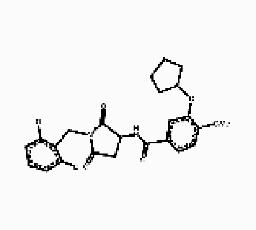 COc1ccc(C(=O)N[C@H]2CC(=O)N(Cc3c(Cl)cccc3Cl)C2=O)cc1OC1CCCC1